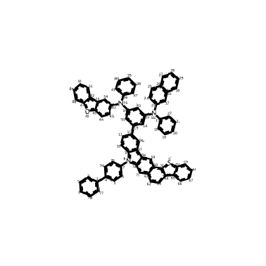 c1ccc(-c2ccc(-n3c4ccc(-c5cc(N(c6ccccc6)c6ccc7ccccc7c6)cc(N(c6ccccc6)c6ccc7oc8ccccc8c7c6)c5)cc4c4cc5c(ccc6c7ccccc7sc56)cc43)cc2)cc1